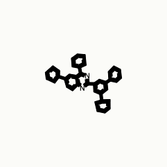 c1ccc(-c2cc(-c3ccccc3)cc(-c3nc(-c4ccccc4)c4cc(-c5ccccc5)ccc4n3)c2)cc1